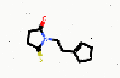 O=C1CCC(=S)N1CCC1=CCCC1